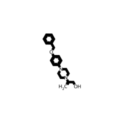 C=C(CO)N1CCN(c2ccc(OCc3ccccc3)cc2)CC1